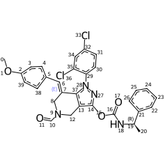 COc1ccc(/C=C2\CN(C=O)Cc3c(OC(=O)N[C@H](C)c4ccccc4)nn(-c4ccc(Cl)cc4Cl)c32)cc1